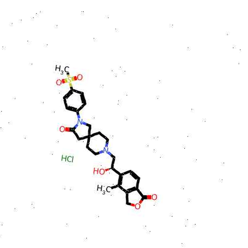 Cc1c([C@@H](O)CN2CCC3(CC2)CC(=O)N(c2ccc(S(C)(=O)=O)cc2)C3)ccc2c1COC2=O.Cl